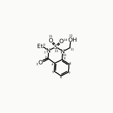 CCN1C(=O)c2ccccc2N(CO)S1(=O)=O